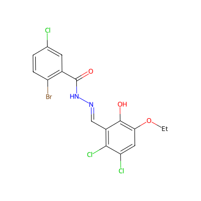 CCOc1cc(Cl)c(Cl)c(C=NNC(=O)c2cc(Cl)ccc2Br)c1O